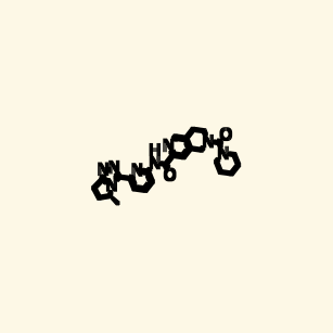 C[C@H]1CCc2nnc(-c3cccc(NC(=O)c4cc5c(cn4)CCN(C(=O)N4CCCCC4)C5)n3)n21